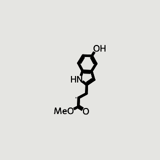 COC(=O)[CH]Cc1cc2cc(O)ccc2[nH]1